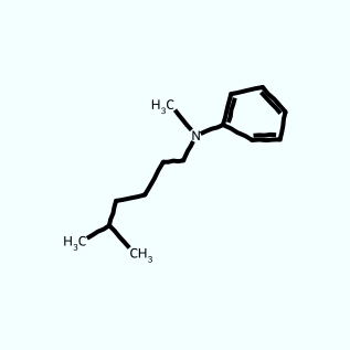 CC(C)CCCCN(C)c1ccccc1